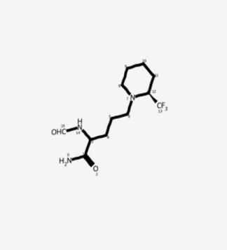 NC(=O)C(CCCN1CCCC[C@H]1C(F)(F)F)NC=O